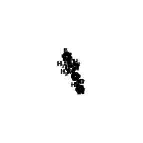 CC(C)(C(=O)N1CCCC1[C@@H](N)c1ccc(C(=O)Nc2ccncc2)cc1)c1ccc(F)cc1